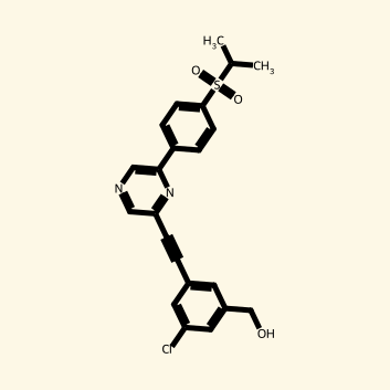 CC(C)S(=O)(=O)c1ccc(-c2cncc(C#Cc3cc(Cl)cc(CO)c3)n2)cc1